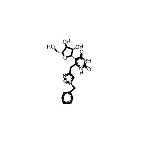 O=c1[nH]c(Cc2cn(Cc3ccccc3)nn2)c([C@@H]2O[C@H](CO)C(O)[C@@H]2O)c(=O)[nH]1